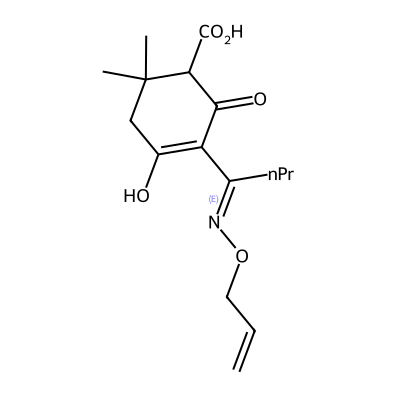 C=CCO/N=C(\CCC)C1=C(O)CC(C)(C)C(C(=O)O)C1=O